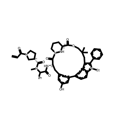 C=CC(=O)N1CC[C@H](C(=O)N(C)C(C(=O)N[C@H]2Cc3cc(O)cc(c3)-c3ccc4c(c3)c(c(-c3ccccc3)n4CC)CC(C)(C)COC(=O)[C@@H]3CCCN(N3)C2=O)C(C)C)C1